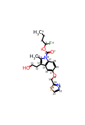 CCCC(F)OC(=O)n1c(C)c(CCO)c2cc(OCc3nccs3)ccc21